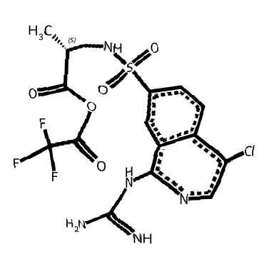 C[C@H](NS(=O)(=O)c1ccc2c(Cl)cnc(NC(=N)N)c2c1)C(=O)OC(=O)C(F)(F)F